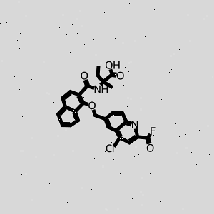 CCC(C)(NC(=O)c1ccc2ccccc2c1OCc1ccc2nc(C(=O)F)cc(Cl)c2c1)C(=O)O